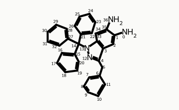 Nc1cc2c(Cc3ccccc3)nn(C(c3ccccc3)(c3ccccc3)c3ccccc3)c2cc1N